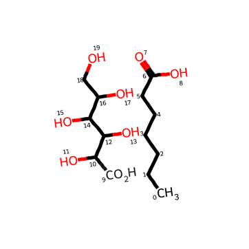 CCCCCCC(=O)O.O=C(O)C(O)C(O)C(O)C(O)CO